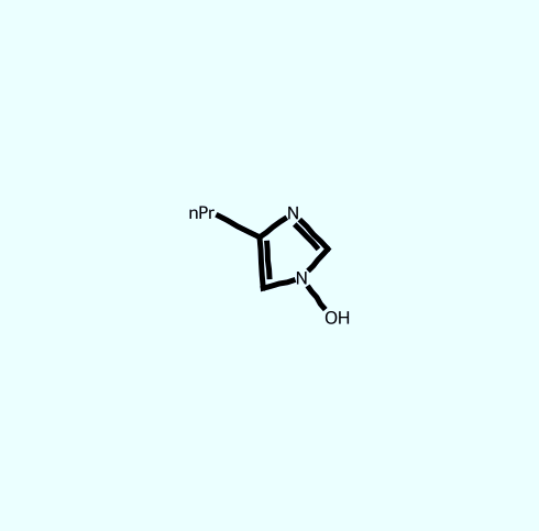 CCCc1cn(O)cn1